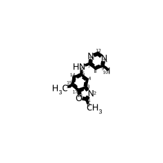 Cc1nc2cc(Nc3cc(I)ncn3)cc(C)c2o1